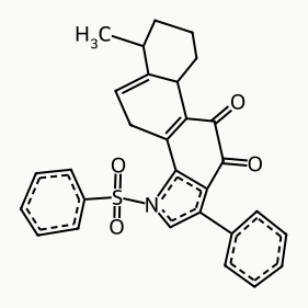 CC1CCCC2C1=CCC1=C2C(=O)C(=O)c2c(-c3ccccc3)cn(S(=O)(=O)c3ccccc3)c21